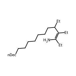 CCCCCCCCCCCCCCCCCC(CC)C(CC)=C(N)CC